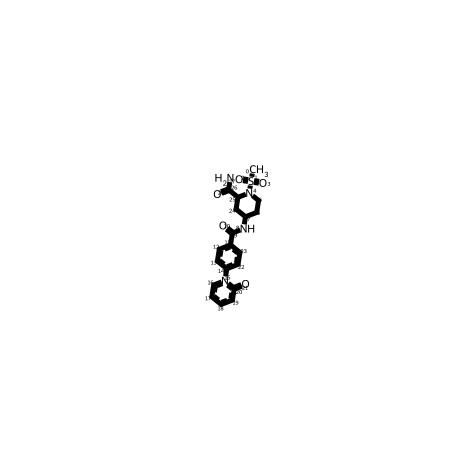 CS(=O)(=O)N1CCC(NC(=O)c2ccc(-n3ccccc3=O)cc2)[CH]C1C(N)=O